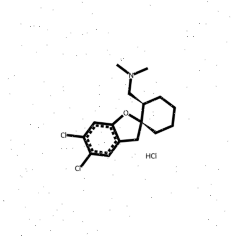 CN(C)C[C@H]1CCCC[C@]12Cc1cc(Cl)c(Cl)cc1O2.Cl